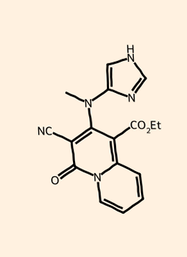 CCOC(=O)c1c(N(C)c2c[nH]cn2)c(C#N)c(=O)n2ccccc12